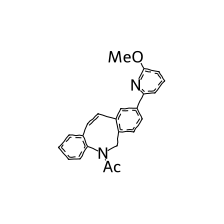 COc1cccc(-c2ccc3c(c2)C=Cc2ccccc2N(C(C)=O)C3)n1